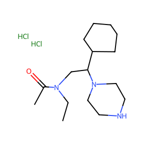 CCN(CC(C1CCCCC1)N1CCNCC1)C(C)=O.Cl.Cl